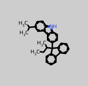 CCC(C)C1(c2ccc3[nH]c4ccc(C(C)C)cc4c3c2)c2ccccc2-c2ccccc21